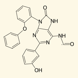 O=[C]Nc1nc(-c2cccc(O)c2)nc2c1[nH]c(=O)n2-c1ccccc1Oc1ccccc1